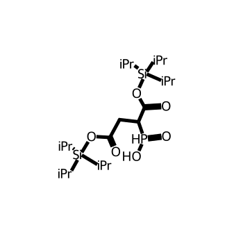 CC(C)[Si](OC(=O)CC(C(=O)O[Si](C(C)C)(C(C)C)C(C)C)[PH](=O)O)(C(C)C)C(C)C